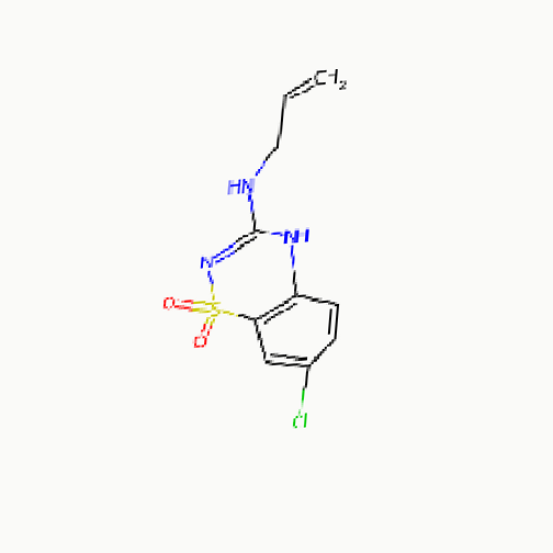 C=CCNC1=NS(=O)(=O)c2cc(Cl)ccc2N1